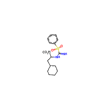 N=C(NC(CC1CCCCC1)C(=O)O)S(=O)(=O)c1ccccc1